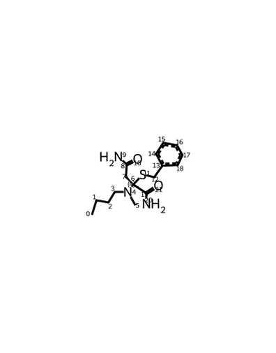 CCCCN(C)[C@](CC(N)=O)(SCc1ccccc1)C(N)=O